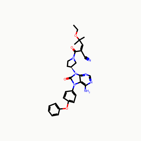 CCOC(C)(C)/C=C(/C#N)C(=O)N1CC[C@H](n2c(=O)n(-c3ccc(Oc4ccccc4)cc3)c3c(N)ncnc32)C1